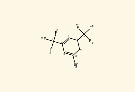 FC(F)(F)C1=CC(C(F)(F)F)[CH]C(Br)=C1